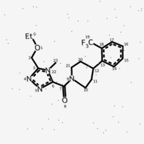 CCOCc1nnc(C(=O)N2CCC(c3ccccc3C(F)(F)F)CC2)n1C